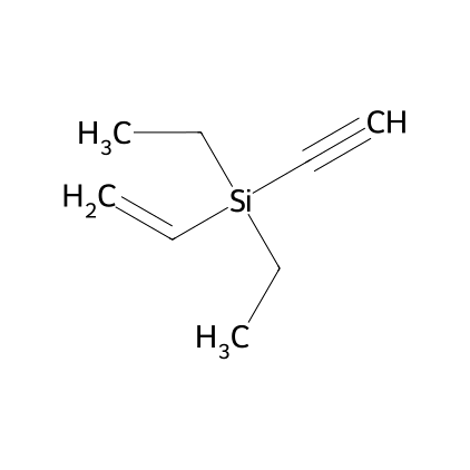 C#C[Si](C=C)(CC)CC